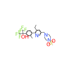 CCc1cc(CN2CCN(S(C)(=O)=O)CC2)cnc1-c1ccc(C(O)(C(F)(F)F)C(F)(F)F)cc1C